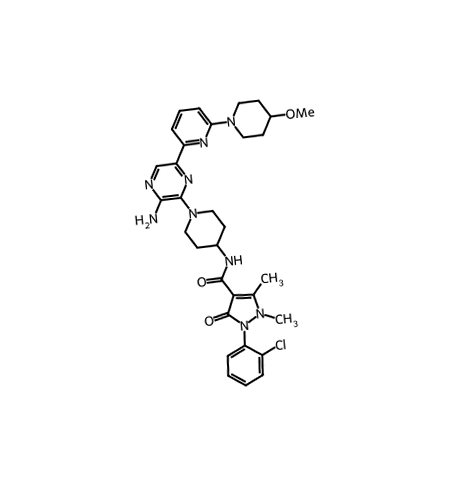 COC1CCN(c2cccc(-c3cnc(N)c(N4CCC(NC(=O)c5c(C)n(C)n(-c6ccccc6Cl)c5=O)CC4)n3)n2)CC1